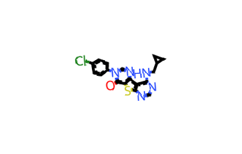 O=c1c2sc3ncnc(NCC4CC4)c3c2ncn1-c1ccc(Cl)cc1